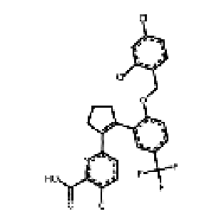 O=C(O)c1nc(C2=C(c3cc(C(F)(F)F)ccc3OCc3ccc(Cl)cc3Cl)CCC2)ccc1Cl